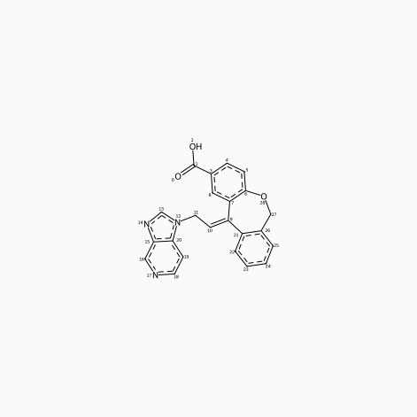 O=C(O)c1ccc2c(c1)C(=CCn1cnc3cnccc31)c1ccccc1CO2